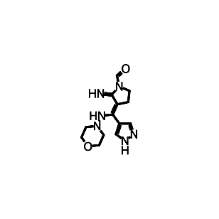 N=C1/C(=C(\NN2CCOCC2)c2cn[nH]c2)CCN1C=O